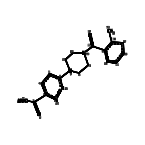 COC(=O)c1ccc(N2CCN(C(=O)c3ccccc3C(F)(F)F)CC2)nn1